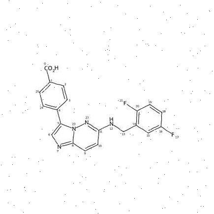 O=C(O)c1ccc(-c2cnc3ccc(NCc4cc(F)ccc4F)nn23)cc1